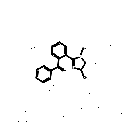 CC1CN(C(C)C)C(c2ccccc2C(=O)c2ccccc2)=N1